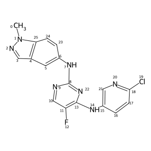 Cn1ncc2cc(Nc3ncc(F)c(Nc4ccc(Cl)nc4)n3)ccc21